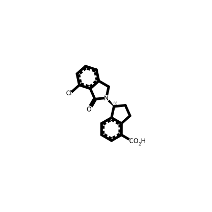 O=C(O)c1cccc2c1CC[C@@H]2N1Cc2cccc(Cl)c2C1=O